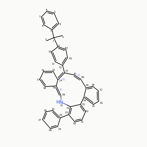 CC(C)(c1ccccc1)c1ccc(C2=c3\cccc\c3=C/Nc3c(-c4ccccc4)cccc3-c3ccccc3/C=C\2)cc1